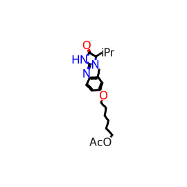 CC(=O)OCCCCCCOc1ccc2c(c1)CN1C(=N2)NC(=O)C1C(C)C